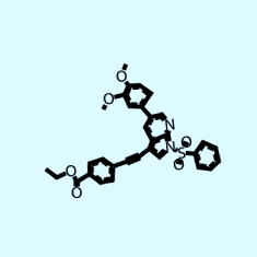 CCOC(=O)c1ccc(C#Cc2cn(S(=O)(=O)c3ccccc3)c3ncc(-c4ccc(OC)c(OC)c4)cc23)cc1